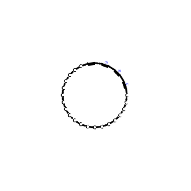 [C]1=C\C=C/C=C\C=C/CCCCCCCCCCCCCCCCCCCC1